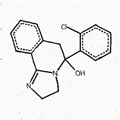 OC1(c2ccccc2Cl)Cc2ccccc2C2=NCCN21